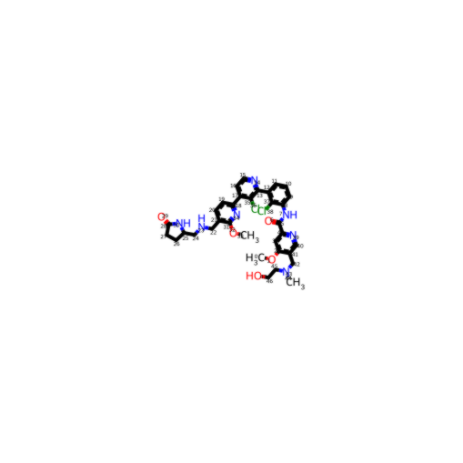 COc1cc(C(=O)Nc2cccc(-c3nccc(-c4ccc(CNCC5CCC(=O)N5)c(OC)n4)c3Cl)c2Cl)ncc1CN(C)CCO